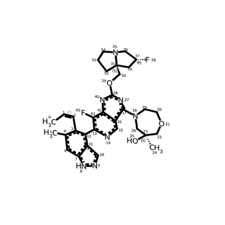 C/C=C\c1c(C)cc2[nH]ncc2c1-c1ncc2c(N3CCOC[C@@](C)(O)C3)nc(OC[C@@]34CCCN3C[C@H](F)C4)nc2c1F